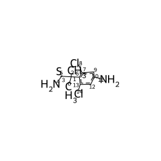 CC(C)(C(N)=S)c1c(Cl)cc(N)cc1Cl